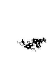 Cn1cnnc1C1(c2cccc(N3Cc4c(cc(CN(C(=O)O)C5(C)CCC5)cc4C(F)(F)F)C3=O)c2)CN(C2COC2)C1